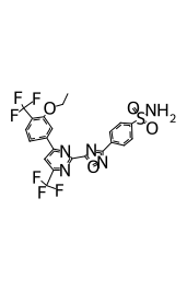 CCOc1cc(-c2cc(C(F)(F)F)nc(-c3nc(-c4ccc(S(N)(=O)=O)cc4)no3)n2)ccc1C(F)(F)F